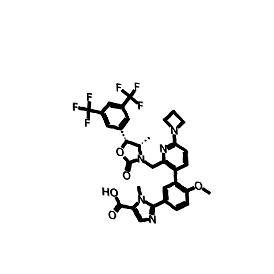 COc1ccc(-c2ncc(C(=O)O)n2C)cc1-c1ccc(N2CCC2)nc1CN1C(=O)O[C@H](c2cc(C(F)(F)F)cc(C(F)(F)F)c2)[C@@H]1C